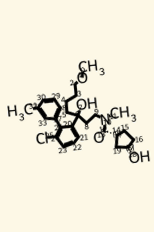 COCCCCC(O)(CCN(C)C(=O)[C@@H]1CC[C@H](O)C1)c1cccc(Cl)c1-c1cccc(C)c1